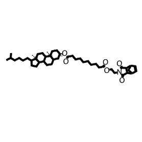 CC(C)CCCCC1CCC2C3CCC4C[C@@H](OC(=O)CCCCCCCCC(=O)OCCN5C(=O)C6C7C=CC(C7)C6C5=O)CC[C@]4(C)C3CC[C@]12C